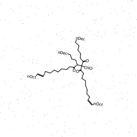 CCCCCCCCC=CCCCCCCCC(=O)C(CCCCCCCCCCCCC)C([C]=O)(C(=O)CCCCCCC/C=C\CCCCCCCC)C(=O)CCCCCCCCCCCCCCC